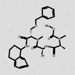 CC(C)[C@H](NC(=O)[C@H](C)N(C)C(=O)OC(C)(C)C)C(=O)N(C)[C@@H](COCc1ccccc1)C(=O)NC1CCCc2ccccc21